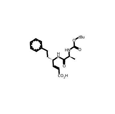 C[C@H](NC(=O)OC(C)(C)C)C(=O)N[C@H](C=CC(=O)O)CCc1ccccc1